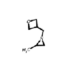 CC1CN1CC1COC1